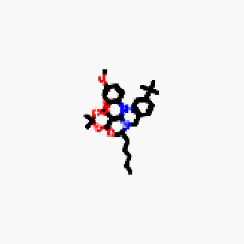 CCCCCC(C)N(Cc1ccc(C(C)(C)C)cc1)C(Nc1ccc(OC)cc1OC)=C1C(=O)OC(C)(C)OC1=O